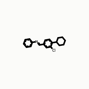 Clc1cc(/C=N/c2ccccc2)ccc1C1CCCCC1